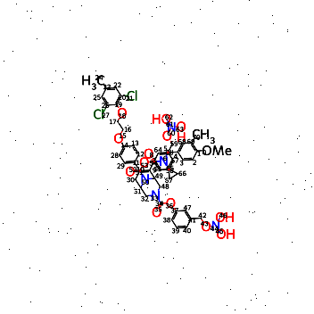 COc1ccc(CN(C(=O)C2=C(c3ccc(OCCOc4c(Cl)cc(C)cc4Cl)cc3)CC3CN(C(=O)Oc4cccc(CON(O)O)c4)CC2N3C(=O)Oc2cccc(CON(O)O)c2)C2CC2)cc1C